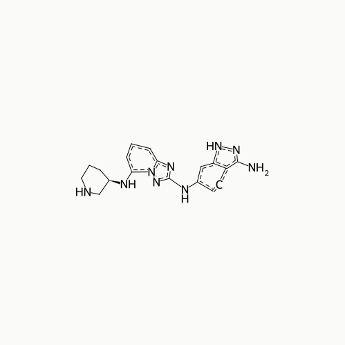 Nc1n[nH]c2cc(Nc3nc4cccc(N[C@@H]5CCCNC5)n4n3)ccc12